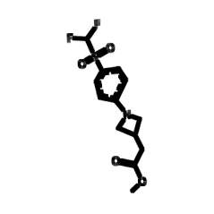 COC(=O)CC1CN(c2ccc(S(=O)(=O)C(F)F)cc2)C1